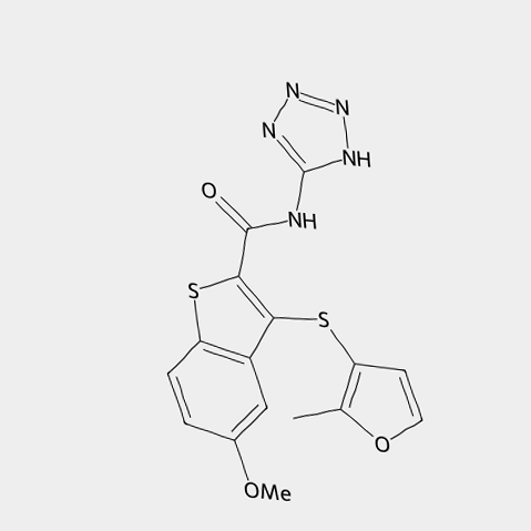 COc1ccc2sc(C(=O)Nc3nnn[nH]3)c(Sc3ccoc3C)c2c1